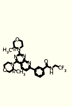 C[C@H]1COCCN1c1nc(N2CCOC[C@@H]2C)c2ccc(-c3cccc(C(=O)NCC(F)(F)F)c3)nc2n1